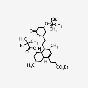 CCOC(=O)CCC1=C[C@@H](C)[C@H](CC[C@@H]2C[C@@H](O[Si](C)(C)C(C)(C)C)CC(=O)O2)[C@H]2[C@@H](OC(=O)C(C)(C)CC)C[C@@H](C)C[C@H]12